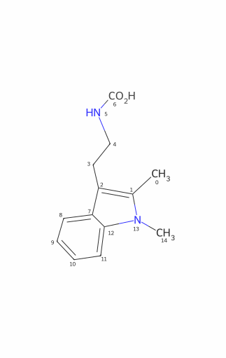 Cc1c(CCNC(=O)O)c2ccccc2n1C